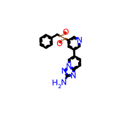 Nc1nc2ccc(-c3cncc(S(=O)(=O)Cc4ccccc4)c3)cn2n1